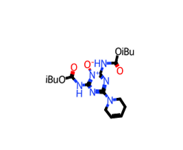 CC(C)COC(=O)Nc1nc(N2CC=CCC2)nc(NC(=O)OCC(C)C)[n+]1[O-]